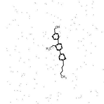 CCCCCc1ccc(-c2ccc(-c3ccc(CO)cc3)c(CC)c2)cc1